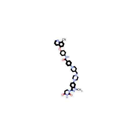 Cn1nc(N2CCC(=O)NC2=O)c2ccc(N3CCN(CC4CCN(c5ccc(C(=O)NC6CCC(Oc7ccc(C#N)c8ncccc78)CC6)cc5)CC4)CC3)cc21